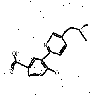 [CH2][C@@H](C)Cc1ccc(-c2cc(C(=O)O)ccc2Cl)nc1